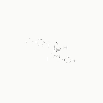 C[C@@H]1CN(C(=O)COc2ccc(C3CCCC3)cc2)[C@@H](C)CN1Cc1ccc(F)cc1